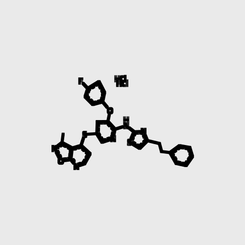 Cc1noc2nccc(Sc3cnc(Nc4nc(CCc5ccccc5)cs4)c(Oc4ccc(F)cc4)c3)c12.Cl.Cl